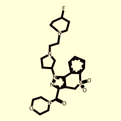 O=C(c1nn(C2CCN(CCN3CCC(F)CC3)C2)c2c1CS(=O)(=O)c1ccccc1-2)N1CCOCC1